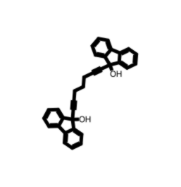 OC1(C#CCCCC#CC2(O)c3ccccc3-c3ccccc32)c2ccccc2-c2ccccc21